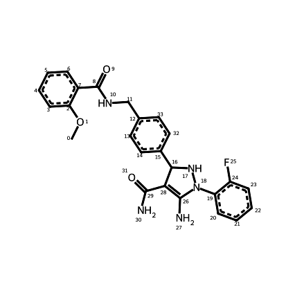 COc1ccccc1C(=O)NCc1ccc(C2NN(c3ccccc3F)C(N)=C2C(N)=O)cc1